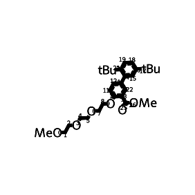 COCCOCCOCCOc1ccc(-c2cc(C(C)(C)C)ccc2C(C)(C)C)cc1C(=O)OC